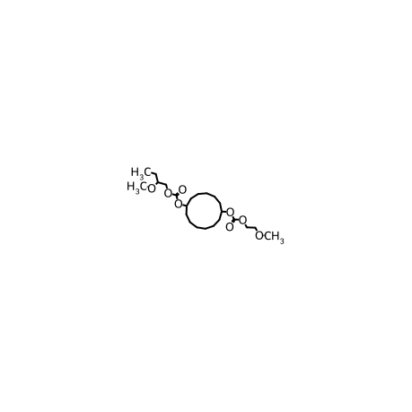 CCC(COC(=O)OC1CCCCCCC(OC(=O)OCCOC)CCCCC1)OC